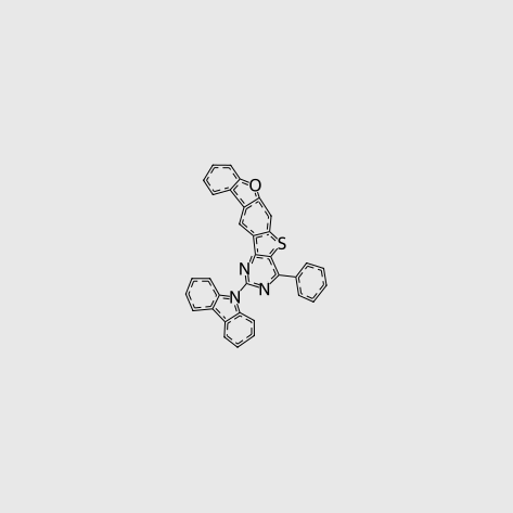 c1ccc(-c2nc(-n3c4ccccc4c4ccccc43)nc3c2sc2cc4oc5ccccc5c4cc23)cc1